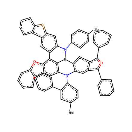 CC(C)(C)c1ccc(N2B3c4cc5c(-c6ccccc6)oc(-c6ccccc6)c5cc4N(c4ccc(C(C)(C)C)cc4-c4ccccc4)c4cc5c(oc6ccccc65)c(c43)-c3cc4c(cc32)sc2ccccc24)cc1